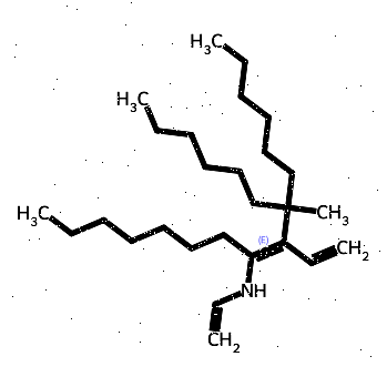 C=CN/C(CCCCCCC)=C(\C=C)C(C)(CCCCCC)CCCCCC